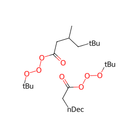 CC(CC(=O)OOOC(C)(C)C)CC(C)(C)C.CCCCCCCCCCCC(=O)OOOC(C)(C)C